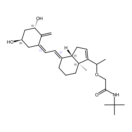 C=C1/C(=C\C=C2/CCC[C@]3(C)C(C(C)OCC(=O)NC(C)(C)C)=CC[C@@H]23)C[C@@H](O)C[C@@H]1O